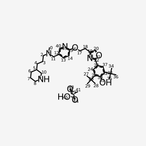 CN(CCCC1CCCNC1)Cc1ccc(OCCc2coc(-c3cc(C(C)(C)C)c(O)c(C(C)(C)C)c3)n2)nc1.CS(=O)(=O)O